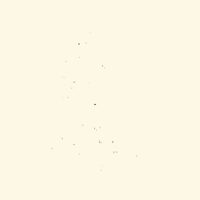 COCCNc1cc(NC(=O)c2cn(C)c3cc(Br)c(C4OCCO4)nc23)ncc1C#N